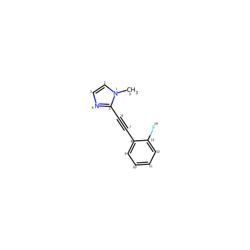 Cn1ccnc1C#Cc1ccccc1F